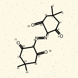 CC1(C)CC(=O)C(N=NC2C(=O)CC(C)(C)CC2=O)C(=O)C1